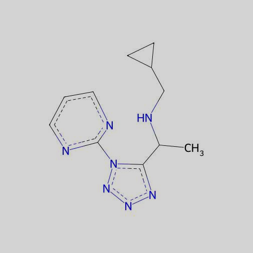 CC(NCC1CC1)c1nnnn1-c1ncccn1